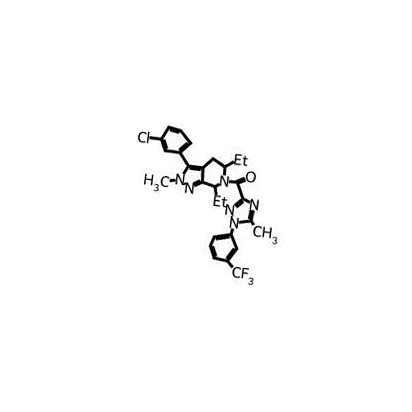 CCC1Cc2c(nn(C)c2-c2cccc(Cl)c2)C(CC)N1C(=O)c1nc(C)n(-c2cccc(C(F)(F)F)c2)n1